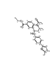 CCOC(=O)c1ccc2c(c1)C(Nc1ccc(-c3csc(C)n3)cc1)CC(C)N2C(C)=O